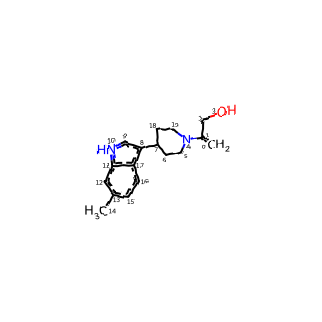 C=C(CO)N1CCC(c2c[nH]c3cc(C)ccc23)CC1